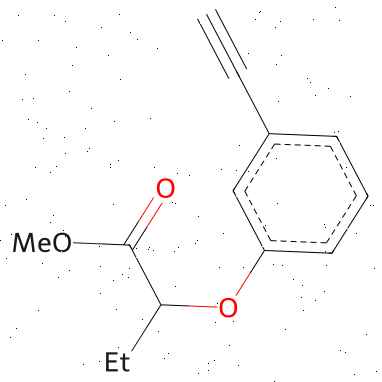 C#Cc1cccc(OC(CC)C(=O)OC)c1